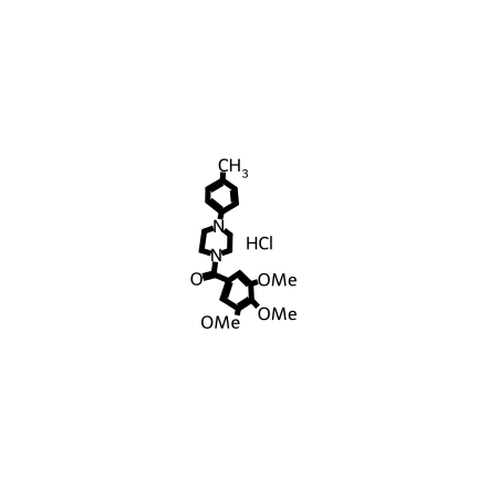 COc1cc(C(=O)N2CCN(c3ccc(C)cc3)CC2)cc(OC)c1OC.Cl